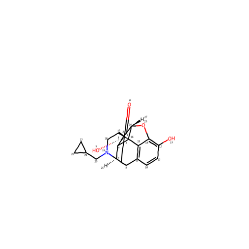 O=C1CC[C@H](O)C2[C@H]3Cc4ccc(O)c5c4[C@@]2(CCN3CC2CC2)[C@H]1O5